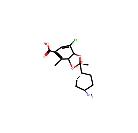 CC1=C(C(=O)O)C=C(Cl)C2O[C@](C)([C@H]3CC[C@@H](N)CC3)OC12